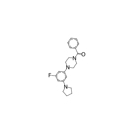 O=C(c1ccccc1)N1CCN(c2cc(F)cc(N3CCCC3)c2)CC1